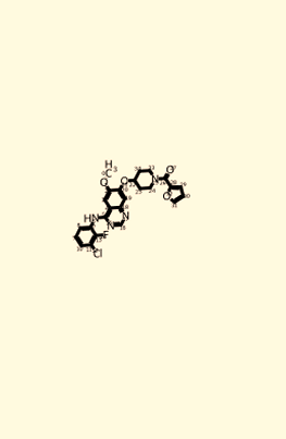 COc1cc2c(Nc3cccc(Cl)c3F)ncnc2cc1OC1CCN(C(=O)c2ccco2)CC1